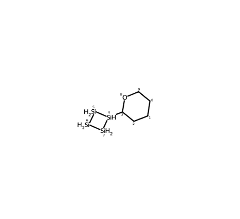 C1CCC([SiH]2[SiH2][SiH2][SiH2]2)OC1